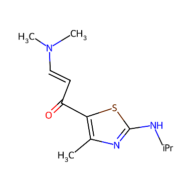 Cc1nc(NC(C)C)sc1C(=O)/C=C/N(C)C